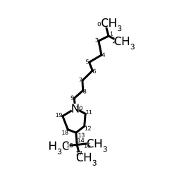 CC(C)CCCCCCCN1CCC(C(C)(C)C)CC1